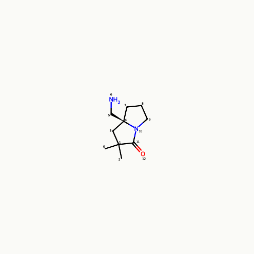 CC1(C)C[C@]2(CN)CCCN2C1=O